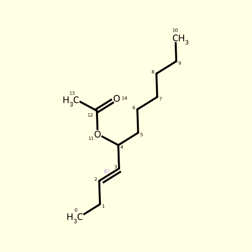 CC/C=C/C(CCCCCC)OC(C)=O